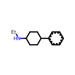 CCNC1CCC(c2ccccc2)CC1